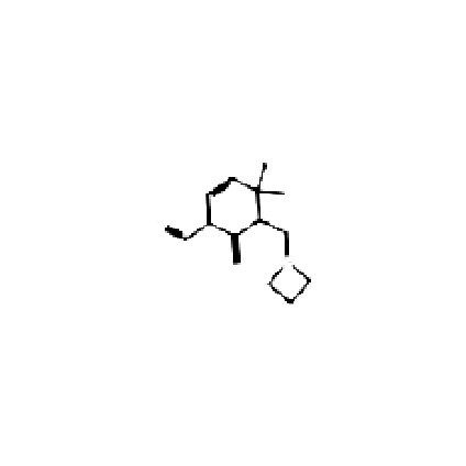 C=C1C(C=O)C=CC(C)(C)C1CN1CCC1